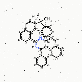 CC1(C)c2ccccc2-c2c1ccc1cccc(-c3nc(-c4ccccc4)c4c(ccc5ccccc54)n3)c21